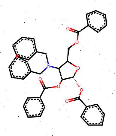 O=C(OC[C@H]1O[C@H](OC(=O)c2ccccc2)C(OC(=O)c2ccccc2)C1N(Cc1ccccc1)Cc1ccccc1)c1ccccc1